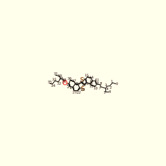 CCCCC(CC)CCc1ccc2c(ccc3sc4c(sc5ccc6cc(OCC(CC)CCCC)ccc6c54)c32)c1